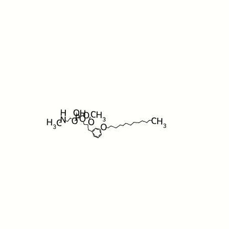 CCCCCCCCCCCCCOc1cccc(CC(COP(O)OCCNC)OC(C)=O)c1